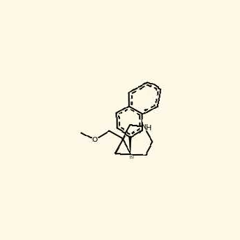 COCC12CNCC[C@]1(c1ccc3ccccc3c1)C2